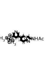 CC(=O)Nc1cn2cc(-c3cncc(S(=O)(=O)N(C)C)c3)ccc2n1